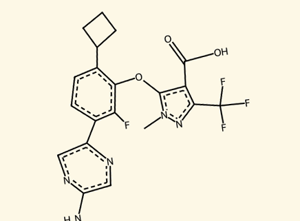 Cn1nc(C(F)(F)F)c(C(=O)O)c1Oc1c(C2CCC2)ccc(-c2cnc(N)cn2)c1F